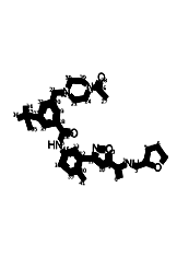 C=C(NCC1CCCO1)c1cc(-c2cc(NC(=O)c3cc(CN4CCN(C(C)=O)CC4)cc(C(C)(C)C)c3)ccc2C)no1